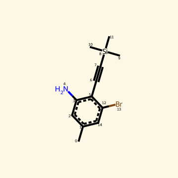 Cc1cc(N)c(C#C[Si](C)(C)C)c(Br)c1